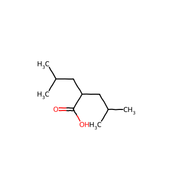 CC(C)CC(CC(C)C)C(=O)O